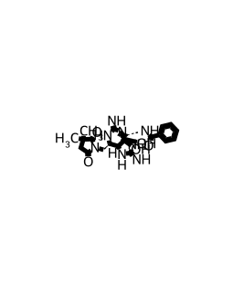 CC1(C)CC(=O)N(C[C@@H]2NC(=N)N3C[C@H](NC(=O)c4ccccc4)C(O)(O)[C@@]34NC(=N)N[C@@H]24)C1=O